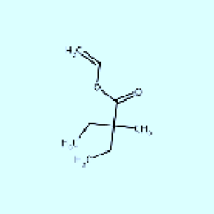 C=COC(=O)C(C)(CC)CC